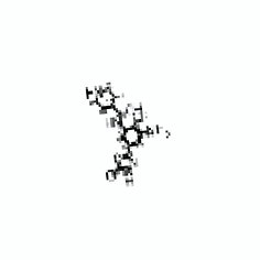 C[C@H](Nc1cc(-c2n[nH]c(=O)o2)cc(N)c1Cl)C1CCNCC1